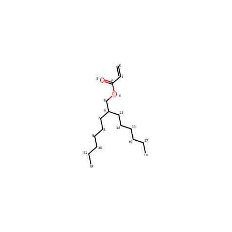 C=CC(=O)OCC(CCCCCC)CCCCCC